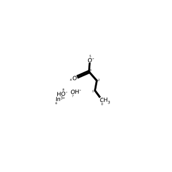 CCCC(=O)[O-].[In+3].[OH-].[OH-]